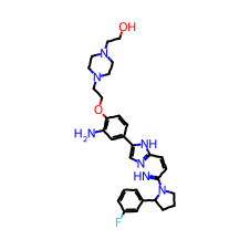 N=C(/C=C\c1ncc(-c2ccc(OCCN3CCN(CCO)CC3)c(N)c2)[nH]1)N1CCCC1c1cccc(F)c1